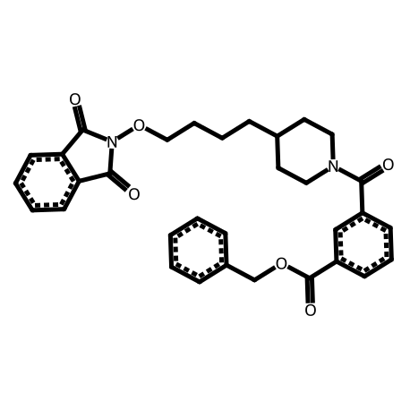 O=C(OCc1ccccc1)c1cccc(C(=O)N2CCC(CCCCON3C(=O)c4ccccc4C3=O)CC2)c1